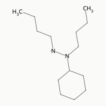 CCCC[N]N(CCCC)C1CCCCC1